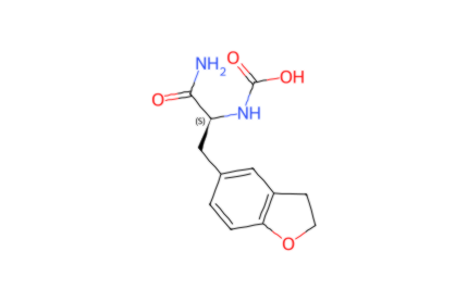 NC(=O)[C@H](Cc1ccc2c(c1)CCO2)NC(=O)O